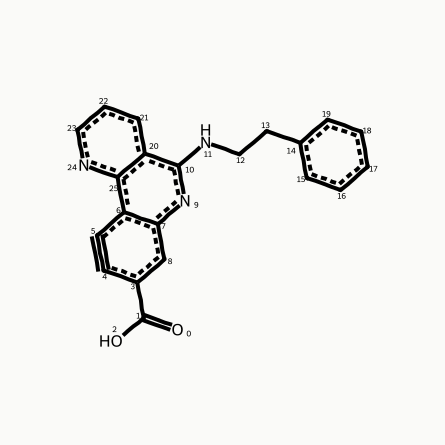 O=C(O)c1c#cc2c(c1)nc(NCCc1ccccc1)c1cccnc12